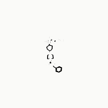 CC(C)(C)OC(=O)NC1CCC(N2CCN(C(=O)OCc3ccccc3)CC2)CC1